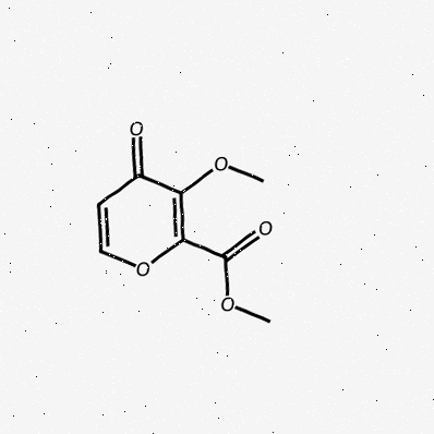 COC(=O)c1occc(=O)c1OC